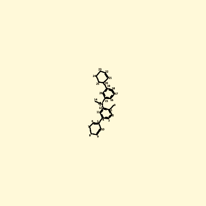 Cc1ccc(C2=CCCC=C2)cc1N(C)c1cccc(C2C=CCCC2)c1